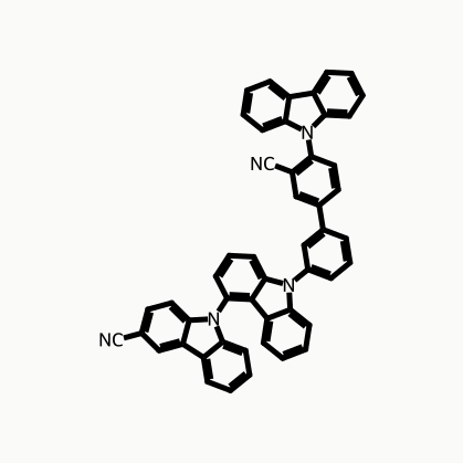 N#Cc1ccc2c(c1)c1ccccc1n2-c1cccc2c1c1ccccc1n2-c1cccc(-c2ccc(-n3c4ccccc4c4ccccc43)c(C#N)c2)c1